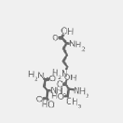 CC(O)C(N)C(=O)O.NC(=O)CC(N)C(=O)O.NCCCCC(N)C(=O)O